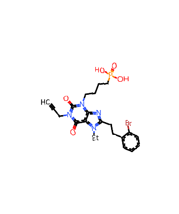 C#CCn1c(=O)c2c(nc(CCc3ccccc3Br)n2CC)n(CCCCP(=O)(O)O)c1=O